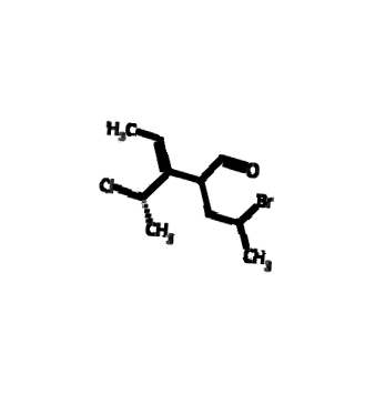 C/C=C(/C(C=O)CC(C)Br)[C@H](C)Cl